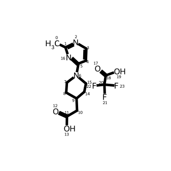 Cc1nccc(N2CCC(CC(=O)O)CC2)n1.O=C(O)C(F)(F)F